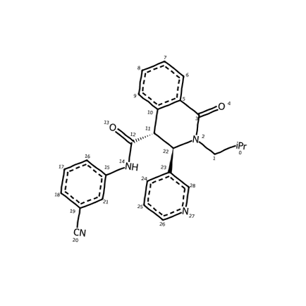 CC(C)CN1C(=O)c2ccccc2[C@@H](C(=O)Nc2cccc(C#N)c2)[C@@H]1c1cccnc1